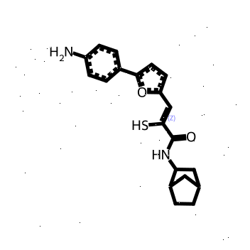 Nc1ccc(-c2ccc(/C=C(\S)C(=O)NC3CC4CCC3C4)o2)cc1